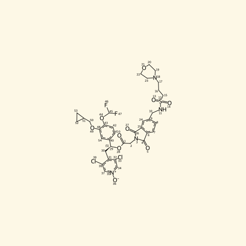 O=C(CN1C(=O)c2ccc(CNS(=O)(=O)CCCN3CCOCC3)cc2C1=O)O[C@@H](Cc1c(Cl)c[n+]([O-])cc1Cl)c1ccc(OC(F)F)c(OCC2CC2)c1